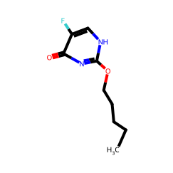 CCCCCOc1nc(=O)c(F)c[nH]1